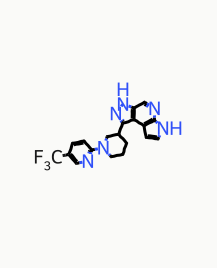 FC(F)(F)c1ccc(N2CCCC(c3n[nH]c4cnc5[nH]ccc5c34)C2)nc1